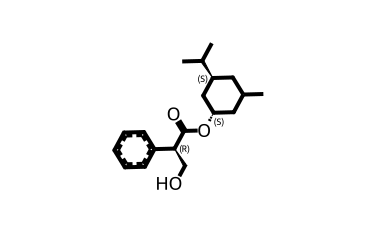 CC1C[C@H](OC(=O)[C@@H](CO)c2ccccc2)C[C@@H](C(C)C)C1